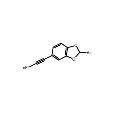 CCCC#Cc1ccc2c(c1)OC(C(C)=O)O2